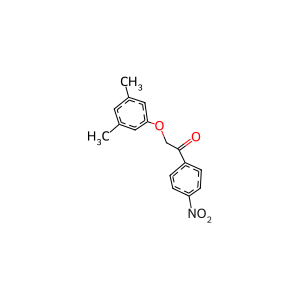 Cc1cc(C)cc(OCC(=O)c2ccc([N+](=O)[O-])cc2)c1